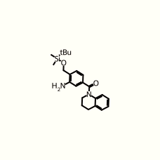 CC(C)(C)[Si](C)(C)OCc1ccc(C(=O)N2CCCc3ccccc32)cc1N